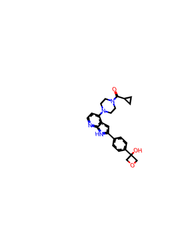 O=C(C1CC1)N1CCN(c2ccnc3[nH]c(-c4ccc(C5(O)COC5)cc4)cc23)CC1